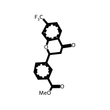 COC(=O)c1cccc(C2CC(=O)c3ccc(C(F)(F)F)cc3O2)c1